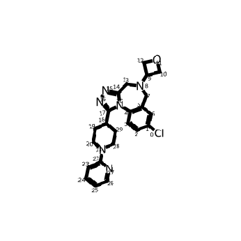 Clc1ccc2c(c1)CN(C1COC1)Cc1nnc(C3CCN(c4ccccn4)CC3)n1-2